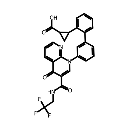 O=C(NCC(F)(F)F)c1cn(-c2cccc(-c3ccccc3C3CC3C(=O)O)c2)c2ncccc2c1=O